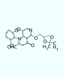 CC1(C)OCC(COc2ncc(Cl)c3c2c(=O)cc(C=O)n3-c2c(Cl)cccc2Cl)O1